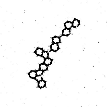 c1cnc2c(c1)ccc1cc(-c3ccc4cc(-n5c6ccccc6c6c7cc8c9cccc%10c%11ccccc%11n(c8cc7ccc65)c%109)ccc4c3)cnc12